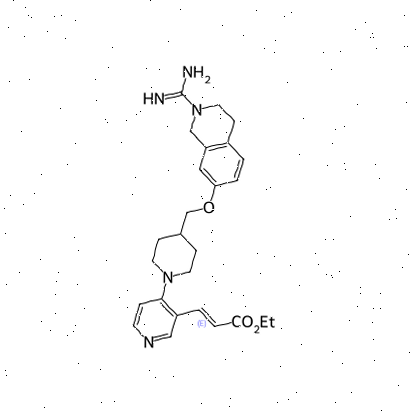 CCOC(=O)/C=C/c1cnccc1N1CCC(COc2ccc3c(c2)CN(C(=N)N)CC3)CC1